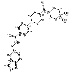 O=C(NCc1ccn2ccnc2c1)c1ccc(C2CCN(C(=O)C3CCS(O)(O)CC3)CC2)cc1